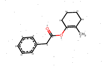 CC1=C(OC(=O)Cc2ccccc2)CCCC1